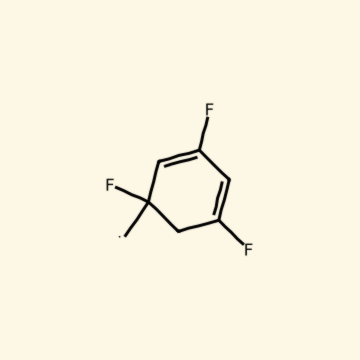 [CH2]C1(F)C=C(F)C=C(F)C1